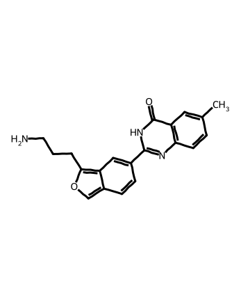 Cc1ccc2nc(-c3ccc4coc(CCCN)c4c3)[nH]c(=O)c2c1